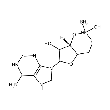 B[PH]1(O)OCC2OC(N3CNC4=C3N=CNC4N)C(O)[C@@H]2O1